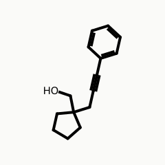 OCC1(CC#Cc2ccccc2)CCCC1